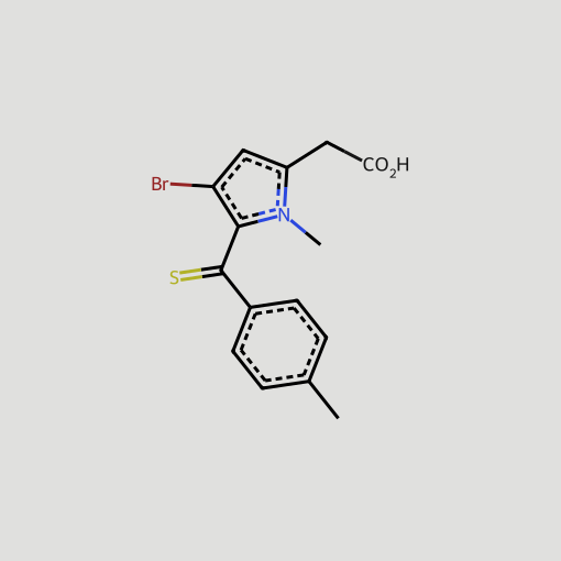 Cc1ccc(C(=S)c2c(Br)cc(CC(=O)O)n2C)cc1